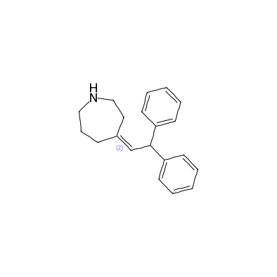 C(=C1\CCCNCC1)/C(c1ccccc1)c1ccccc1